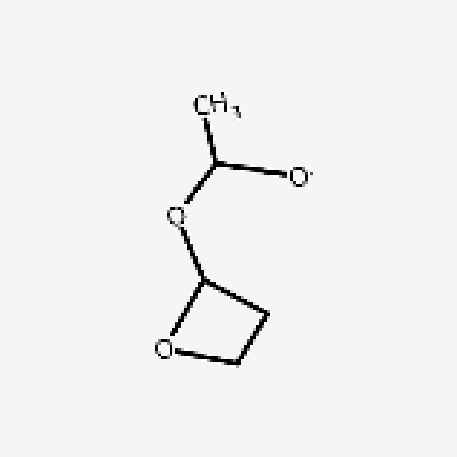 CC([O])OC1CCO1